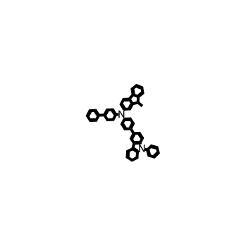 CC1c2ccccc2-c2ccc(N(C3=CC=C(c4ccccc4)CC3)c3ccc(-c4ccc5c(c4)c4c(n5-c5ccccc5)CCC=C4)cc3)cc21